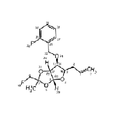 C=CC[C@H]1O[C@@H]2OC(C)(CF)O[C@@H]2[C@H]1OCc1ccccc1F